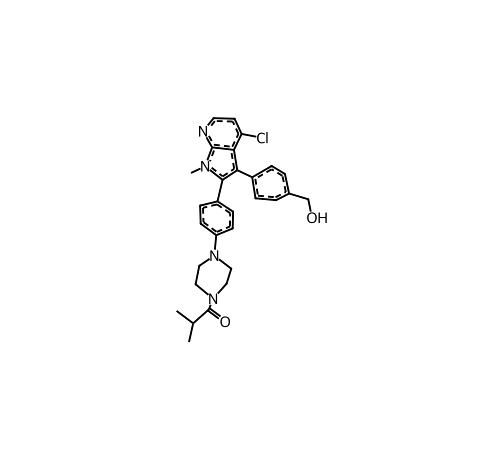 CC(C)C(=O)N1CCN(c2ccc(-c3c(-c4ccc(CO)cc4)c4c(Cl)ccnc4n3C)cc2)CC1